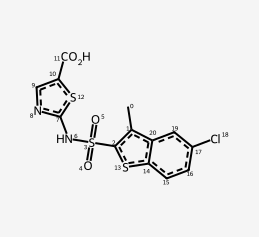 Cc1c(S(=O)(=O)Nc2ncc(C(=O)O)s2)sc2ccc(Cl)cc12